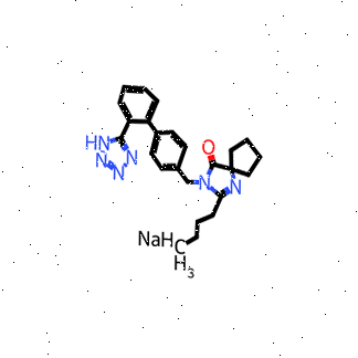 CCCCC1=NC2(CCCC2)C(=O)N1Cc1ccc(-c2ccccc2-c2nnn[nH]2)cc1.[NaH]